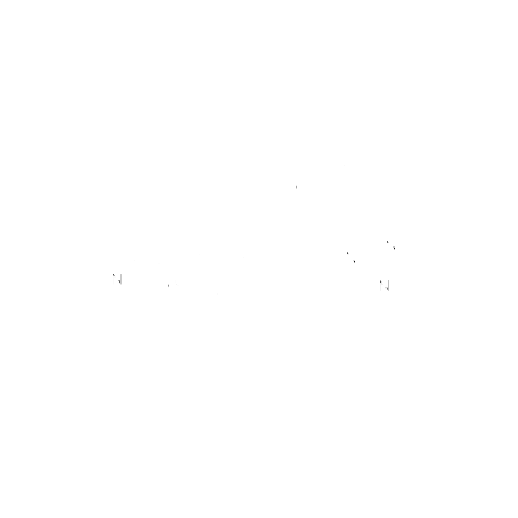 c1ccc(-c2nc(-c3ccccc3)nc(-c3cccc4oc5cc(-c6ccc7oc8c(-n9c%10ccccc%10c%10ccccc%109)cccc8c7c6)ccc5c34)n2)cc1